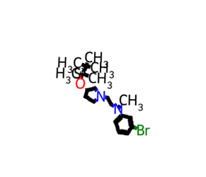 CN(CCN1CC[C@H](O[Si](C)(C)C(C)(C)C)C1)c1cccc(Br)c1